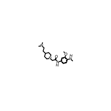 CNc1ccc(NC(=O)CN2CCC(CCN(C)C)CC2)cc1OC